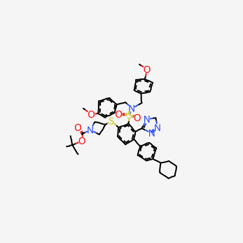 COc1ccc(CN(Cc2ccc(OC)cc2)S(=O)(=O)c2c(SC3CN(C(=O)OC(C)(C)C)C3)ccc(-c3ccc(C4CCCCC4)cc3)c2C2=NCN=N2)cc1